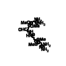 COc1cc(Cc2cnc(N)nc2N)cc(OC)c1OCCCCC(=O)NCCNCC(C=O)CCCOc1c(OC)cc(Cc2cnc(N)nc2N)cc1OC